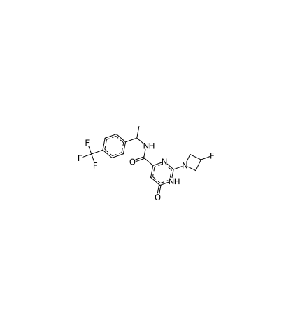 CC(NC(=O)c1cc(=O)[nH]c(N2CC(F)C2)n1)c1ccc(C(F)(F)F)cc1